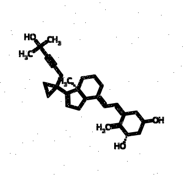 C=C1/C(=C\C=C2/CCC[C@]3(C)C(C4(CC#CC(C)(C)O)CC4)=CCC23)CC(O)C[C@@H]1O